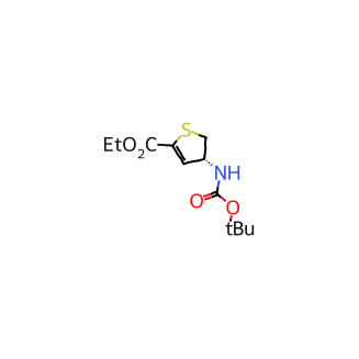 CCOC(=O)C1=C[C@@H](NC(=O)OC(C)(C)C)CS1